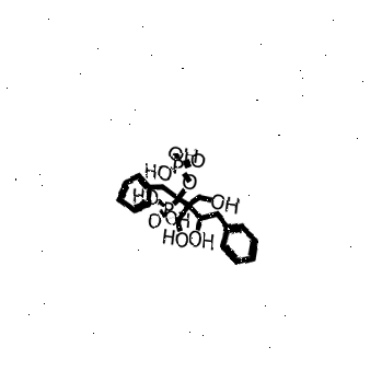 O=P(O)(O)OC(Cc1ccccc1)(C(CO)(CO)C(O)Cc1ccccc1)P(=O)(O)O